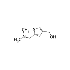 CN(C)Cc1cc(CO)cs1